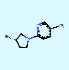 [2H][C@H]1CCN(c2ccc(C(F)(F)F)cn2)C1